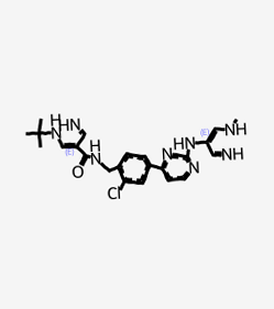 CN/C=C(\C=N)Nc1nccc(-c2ccc(CNC(=O)/C(C=N)=C/NC(C)(C)C)c(Cl)c2)n1